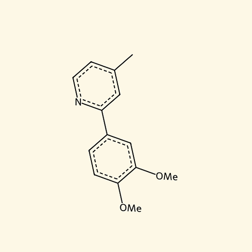 COc1ccc(-c2cc(C)ccn2)cc1OC